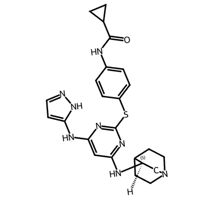 O=C(Nc1ccc(Sc2nc(Nc3ccn[nH]3)cc(N[C@@H]3CN4CCC3CC4)n2)cc1)C1CC1